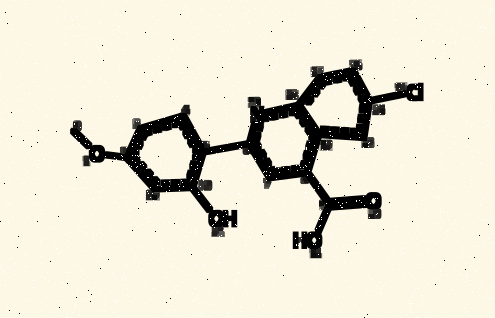 COc1ccc(-c2cc(C(=O)O)c3cc(Cl)ccc3n2)c(O)c1